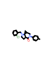 Cc1ccc(N(CC2CC2)C(=O)C2CCN(Cc3ccccc3Cl)C2)cc1